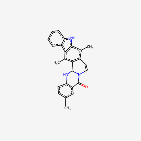 Cc1ccc2c(c1)C(=O)N1C=Cc3c(c(C)c4c([nH]c5ccccc54)c3C)C1N2